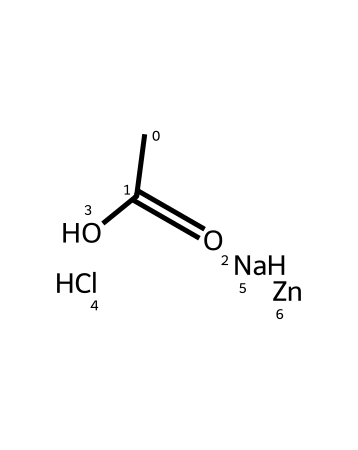 CC(=O)O.Cl.[NaH].[Zn]